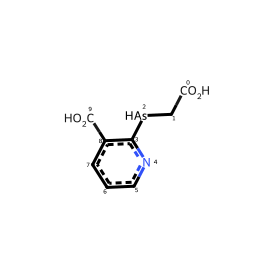 O=C(O)C[AsH]c1ncccc1C(=O)O